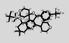 CC1(C)Cc2nc(C3CCOCC3)c3c(c2C(O[Si](C)(C)C(C)(C)C)C1)C1(CCOCC1)OC3c1ccc(C(F)(F)F)nc1